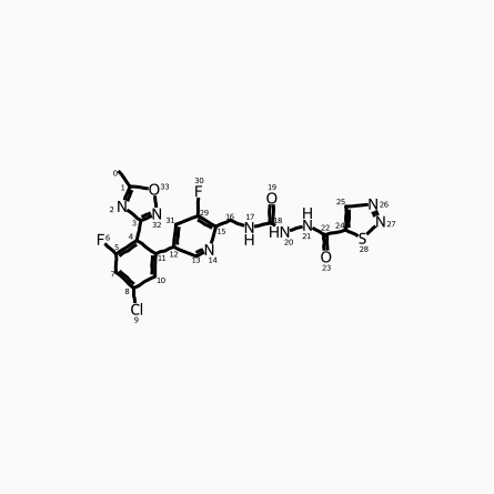 Cc1nc(-c2c(F)cc(Cl)cc2-c2cnc(CNC(=O)NNC(=O)c3cnns3)c(F)c2)no1